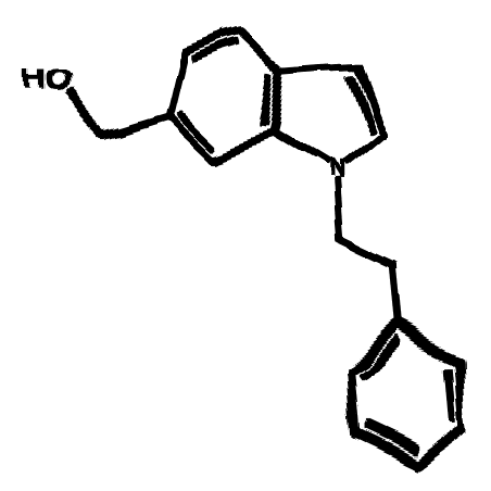 OCc1ccc2ccn(CCc3ccccc3)c2c1